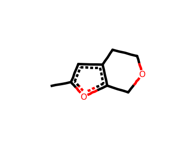 Cc1cc2c(o1)COCC2